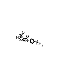 COc1ccc(NC(=O)C2=CS[C@@H]3CC(=O)N23)cc1